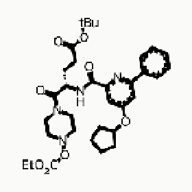 CCOC(=O)ON1CCN(C(=O)[C@H](CCC(=O)OC(C)(C)C)NC(=O)c2cc(OC3CCCC3)cc(-c3ccccc3)n2)CC1